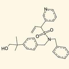 C=CC(c1cccnc1)S(=O)(=O)N(Cc1ccccc1)Cc1ccc(C(C)(C)CO)cc1